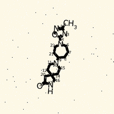 Cc1noc(N2CCCC(N3CCC4(CC3)CNC(=O)C4)CC2)n1